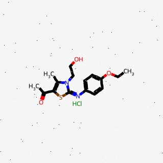 CCOc1ccc(N=c2sc(C(C)=O)c(C)n2CCO)cc1.Cl